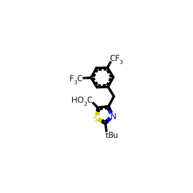 CC(C)(C)c1nc(Cc2cc(C(F)(F)F)cc(C(F)(F)F)c2)c(C(=O)O)s1